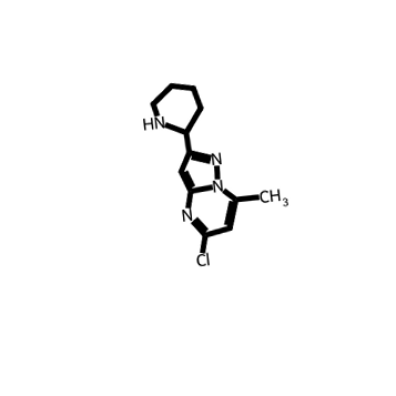 Cc1cc(Cl)nc2cc(C3CCCCN3)nn12